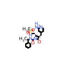 C[C@@H](NC(=O)N1C(=O)[C@H](Cc2ccnc(N)c2)[C@H]1CCS(C)(=O)=O)c1ccccc1